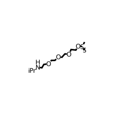 CC(C)NCCOCCOCCOCCOS(C)=S